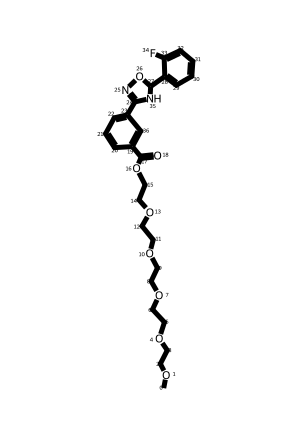 COCCOCCOCCOCCOCCOC(=O)c1cccc(C2=NOC(c3ccccc3F)N2)c1